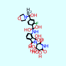 BC(O)(c1ccc(C(O)(O)Nc2cccc3c2C(O)(O)N(C2C(=O)NC(=O)C(O)(O)C2(O)O)C3=O)c(F)c1)N1CCOCC1